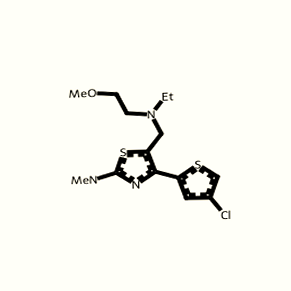 CCN(CCOC)Cc1sc(NC)nc1-c1cc(Cl)cs1